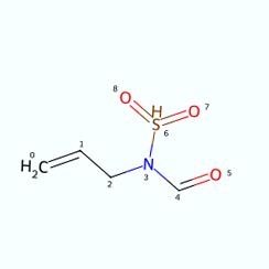 C=CCN(C=O)[SH](=O)=O